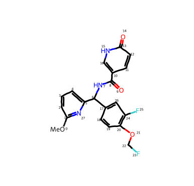 COc1cccc(C(NC(=O)c2ccc(=O)[nH]c2)c2ccc(OCF)c(F)c2)n1